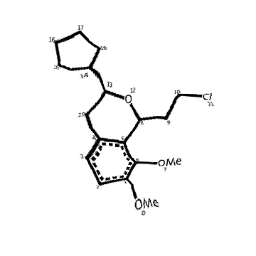 COc1ccc2c(c1OC)C(CCCl)OC(C1CCCC1)C2